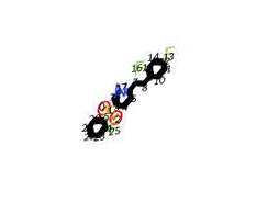 O=S(=O)(c1ccc(CCc2ccc(F)cc2F)nc1)c1ccccc1F